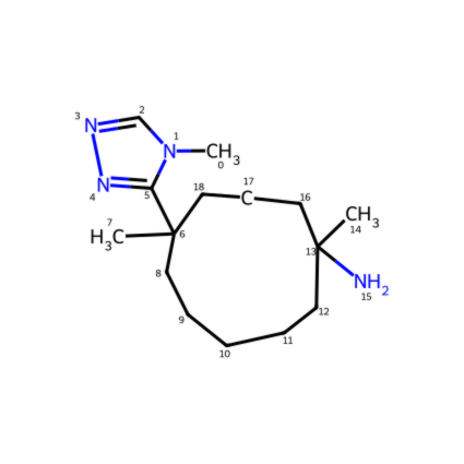 Cn1cnnc1C1(C)CCCCCC(C)(N)CCC1